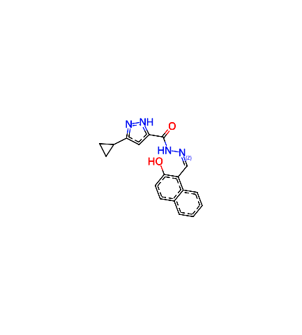 O=C(N/N=C\c1c(O)ccc2ccccc12)c1cc(C2CC2)n[nH]1